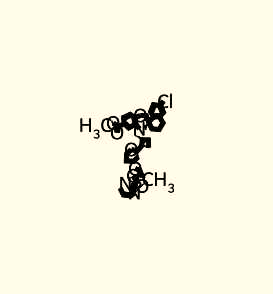 COC(=O)c1ccc2c(c1)N(C[C@@H]1CC[C@H]1[C@H]1C[C@@H](OC[C@H](C)S(=O)(=O)c3ncccn3)CCO1)C[C@@]1(CCCc3cc(Cl)ccc31)CO2